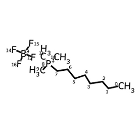 CCCCCCCC[P+](C)(C)C.F[B-](F)(F)F